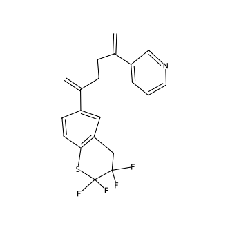 C=C(CCC(=C)c1ccc2c(c1)CC(F)(F)C(F)(F)S2)c1cccnc1